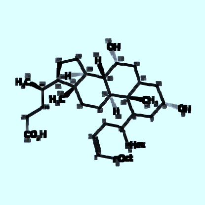 CCCCCCCC/C=C\CC(CCCCCC)C1C[C@@H](O)CC2C[C@@H](O)[C@@H]3[C@H](CC[C@]4(C)[C@@H]([C@H](C)CCC(=O)O)CC[C@@H]34)[C@]21C